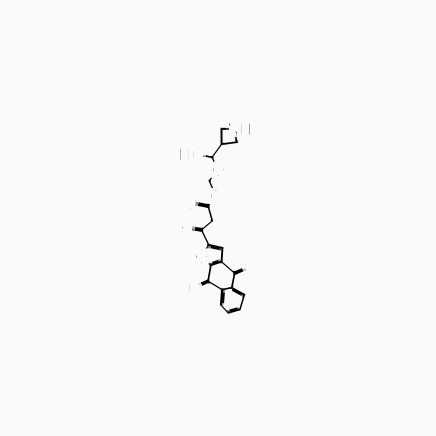 O=C(CC(=O)c1cc2c(o1)C(=O)c1ccccc1C2=O)OCOC(O)C1CNC1